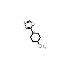 C[C]1CCC(c2nnco2)CC1